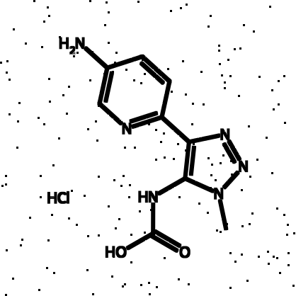 Cl.Cn1nnc(-c2ccc(N)cn2)c1NC(=O)O